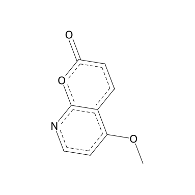 COc1ccnc2oc(=O)ccc12